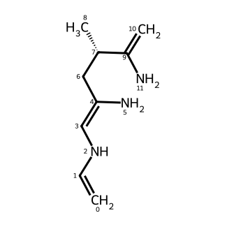 C=CN/C=C(\N)C[C@H](C)C(=C)N